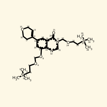 C[Si](C)(C)CCOCOc1cc(C2=CCOCC2)cc2c(=O)n(COCC[Si](C)(C)C)cnc12